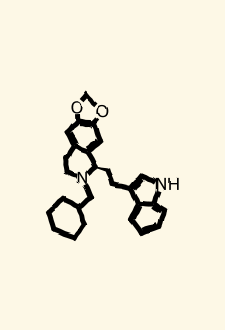 c1ccc2c(CC[C@@H]3c4cc5c(cc4CCN3CC3CCCCC3)OCO5)c[nH]c2c1